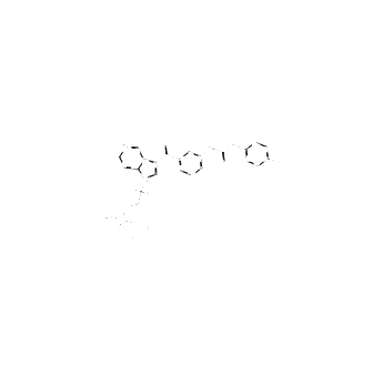 CC(C)(CO[Si](C)(C)C(C)(C)C)n1cc(C(=O)c2cncc(NC(=O)Cc3ccc(Cl)cn3)c2)c2cnccc21